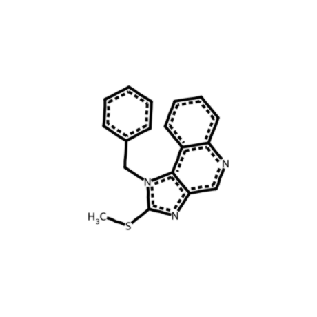 CSc1nc2cnc3ccccc3c2n1Cc1ccccc1